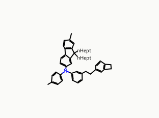 CCCCCCCC1(CCCCCCC)c2cc(C)ccc2-c2ccc(N(c3ccc(C)cc3)c3cccc(CCc4ccc5c(c4)CC5)c3)cc21